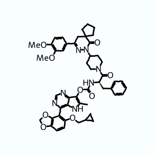 COc1ccc(C2=NN(C3CCN(C(=O)[C@@H](Cc4ccccc4)NC(=O)Oc4c(C)[nH]c5c(-c6c(OCC7CC7)ccc7c6OCO7)ncnc45)CC3)C(=O)C3(CCCC3)C2)cc1OC